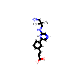 CC(C)(CN)CNc1cncc(-c2cccc(/C=C/C(=O)O)c2)n1